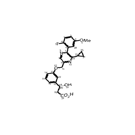 COc1ccc(F)c(-c2ncc(COc3cccc([C@H](O)CC(=O)O)c3)nc2C2CC2)c1